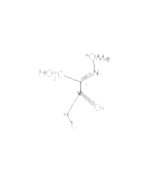 CO/N=C(\C(=O)O)C(=O)CI